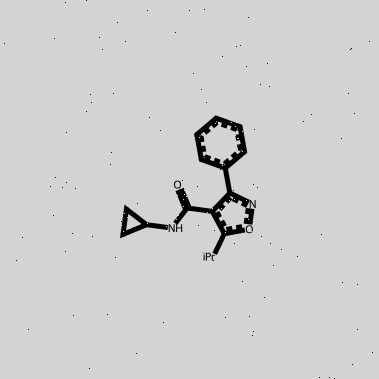 CC(C)c1onc(-c2ccccc2)c1C(=O)NC1CC1